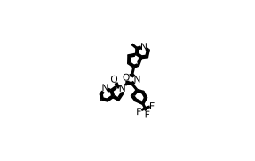 Cc1nccc2cc(-c3nc(-c4ccc(C(F)(F)F)cc4)c(-n4ccc5cccnc5c4=O)o3)ccc12